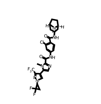 Cn1c(-c2cn(C3CC3(F)F)nc2C(F)(F)F)cnc1C(=O)Nc1ccc(C(=O)NC2C[C@@H]3CC[C@@H](C2)N3)c(Cl)c1